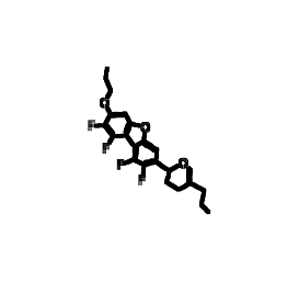 CCCOc1cc2oc3cc(C4CCC(CCC)=CO4)c(F)c(F)c3c2c(F)c1F